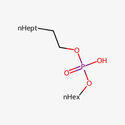 CCCCCCCCCOP(=O)(O)OCCCCCC